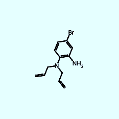 C=CCN(CC=C)c1ccc(Br)cc1N